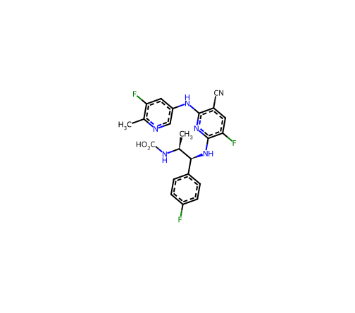 Cc1ncc(Nc2nc(N[C@@H](c3ccc(F)cc3)[C@H](C)NC(=O)O)c(F)cc2C#N)cc1F